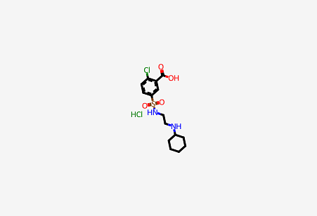 Cl.O=C(O)c1cc(S(=O)(=O)NCCNC2CCCCC2)ccc1Cl